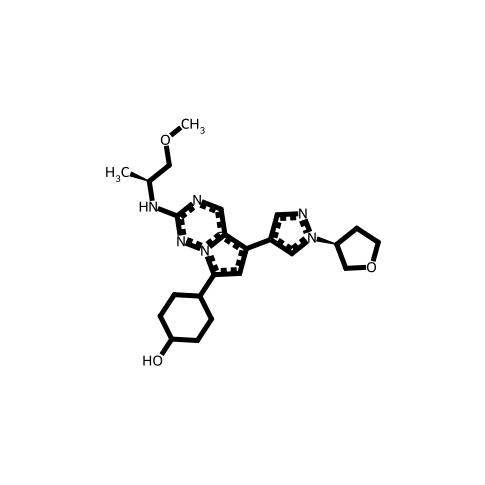 COC[C@H](C)Nc1ncc2c(-c3cnn([C@H]4CCOC4)c3)cc(C3CCC(O)CC3)n2n1